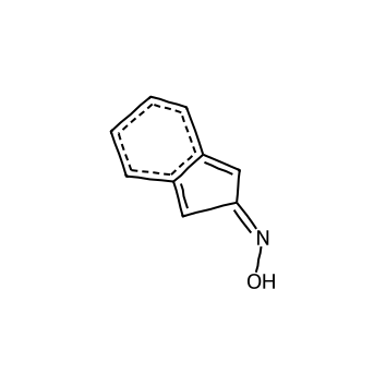 ON=C1C=c2ccccc2=C1